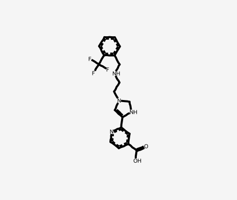 O=C(O)c1ccnc(C2=CN(CCNCc3ccccc3C(F)(F)F)CN2)c1